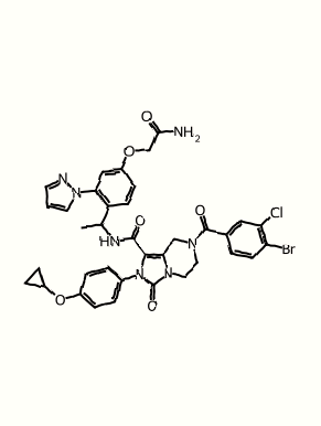 CC(NC(=O)c1c2n(c(=O)n1-c1ccc(OC3CC3)cc1)CCN(C(=O)c1ccc(Br)c(Cl)c1)C2)c1ccc(OCC(N)=O)cc1-n1cccn1